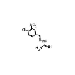 N=C(N)NN=Cc1ccc(Cl)c([N+](=O)[O-])c1